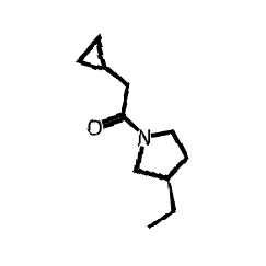 CC[C@@H]1CCN(C(=O)CC2CC2)C1